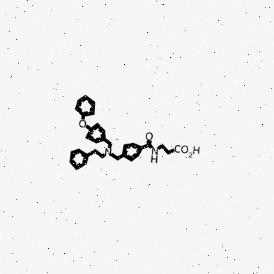 O=C(O)CCNC(=O)c1ccc(CN(CCc2ccccc2)Cc2ccc(Oc3ccccc3)cc2)cc1